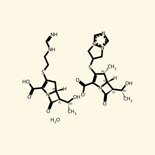 C[C@@H](O)[C@H]1C(=O)N2C(C(=O)O)=C(SCCNC=N)C[C@H]12.C[C@@H](O)[C@H]1C(=O)N2C(C(=O)[O-])=C(SC3Cn4cnc[n+]4C3)[C@H](C)[C@H]12.O